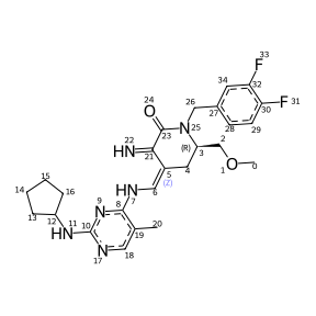 COC[C@H]1C/C(=C/Nc2nc(NC3CCCC3)ncc2C)C(=N)C(=O)N1Cc1ccc(F)c(F)c1